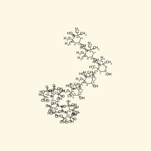 CC1(C)CC(O)CC(C)(C)N1O.CC1(C)CC(O)CC(C)(C)N1O.CC1(C)CC(O)CC(C)(C)N1O.CC1(C)CC(O)CC(C)(C)N1O.CC1(C)CC(O)CC(C)(C)N1O.O=P(O)(O)C(N(CCN(C(P(=O)(O)O)P(=O)(O)O)C(P(=O)(O)O)P(=O)(O)O)CCN(C(P(=O)(O)O)P(=O)(O)O)C(P(=O)(O)O)P(=O)(O)O)P(=O)(O)O